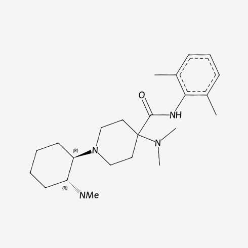 CN[C@@H]1CCCC[C@H]1N1CCC(C(=O)Nc2c(C)cccc2C)(N(C)C)CC1